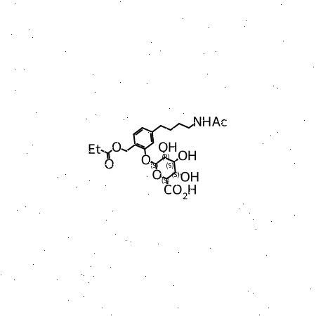 CCC(=O)OCc1ccc(CCCCNC(C)=O)cc1O[C@@H]1O[C@H](C(=O)O)[C@@H](O)[C@H](O)[C@H]1O